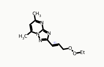 CCOOC/C=C/c1nc2nc(C)cc(C)n2n1